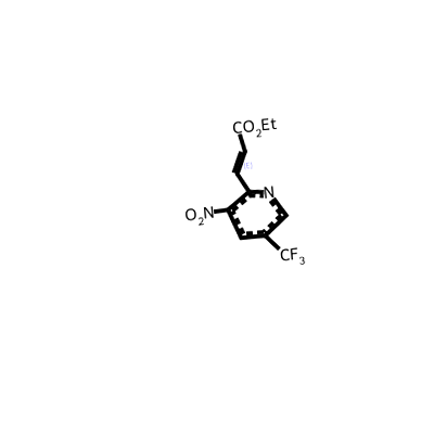 CCOC(=O)/C=C/c1ncc(C(F)(F)F)cc1[N+](=O)[O-]